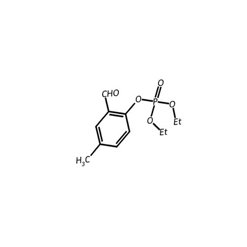 CCOP(=O)(OCC)Oc1ccc(C)cc1C=O